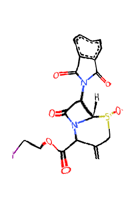 C=C1C[S+]([O-])[C@H]2C(N3C(=O)c4ccccc4C3=O)C(=O)N2C1C(=O)OCCI